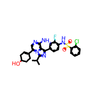 CC(C)c1nc(-c2ccc(NS(=O)(=O)c3ccccc3Cl)c(F)c2)c2c(N)ncc(C3=CCC(O)CC3)n12